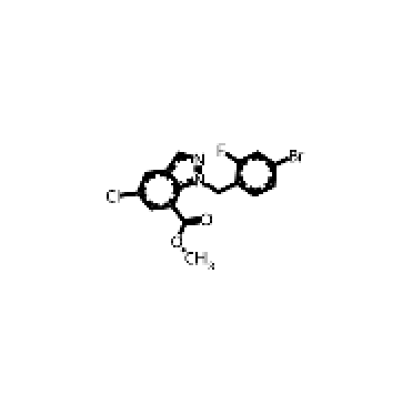 COC(=O)c1cc(Cl)cc2cnn(Cc3ccc(Br)cc3F)c12